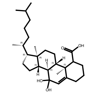 CC(C)CCC[C@@H](C)[C@H]1CC[C@H]2[C@H]3[C@H](CC[C@]12C)[C@]1(C)C(=CC3(O)O)CCCC1C(=O)O